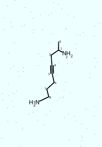 CC(N)CC#CCCCN